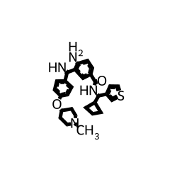 CN1CCC(Oc2ccc(C(=N)c3cc(C(=O)NC(c4ccsc4)C4CCC4)ccc3N)cc2)CC1